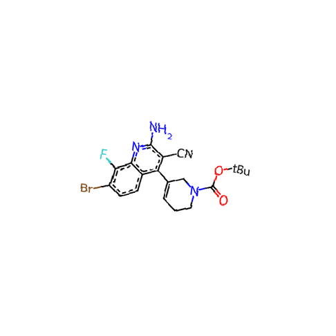 CC(C)(C)OC(=O)N1CCC=C(c2c(C#N)c(N)nc3c(F)c(Br)ccc23)C1